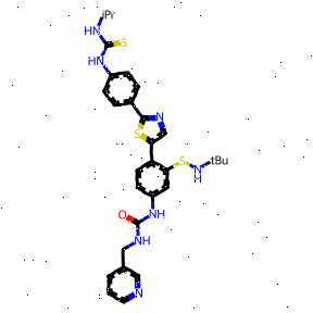 CC(C)NC(=S)Nc1ccc(-c2ncc(-c3ccc(NC(=O)NCc4cccnc4)cc3SNC(C)(C)C)s2)cc1